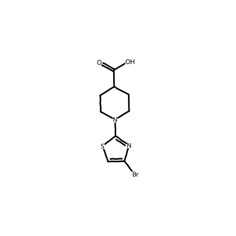 O=C(O)C1CCN(c2nc(Br)cs2)CC1